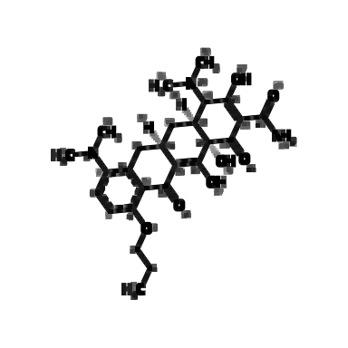 CCCOc1ccc(N(C)C)c2c1C(=O)C1=C(O)[C@]3(O)C(=O)C(C(N)=O)=C(O)C(N(C)C)[C@@H]3C[C@@H]1C2